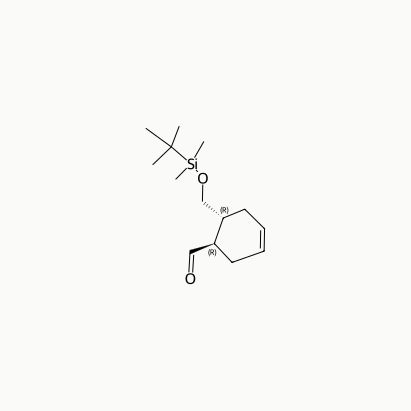 CC(C)(C)[Si](C)(C)OC[C@@H]1CC=CC[C@H]1C=O